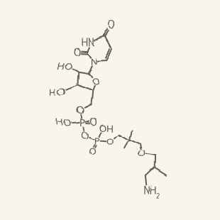 CC(CN)COCC(C)(C)COP(=O)(O)OP(=O)(O)OCC1OC(n2ccc(=O)[nH]c2=O)C(O)C1O